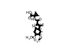 COc1cc2[se]c(C(=O)NC3(C(=O)O)CC3)c(F)c2cc1OC